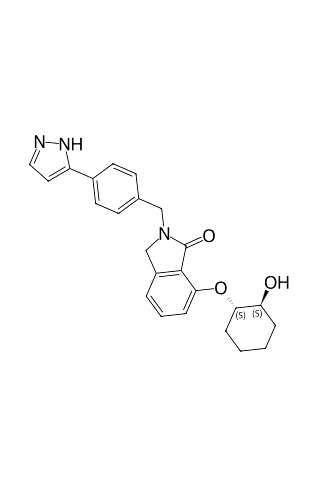 O=C1c2c(cccc2O[C@H]2CCCC[C@@H]2O)CN1Cc1ccc(-c2ccn[nH]2)cc1